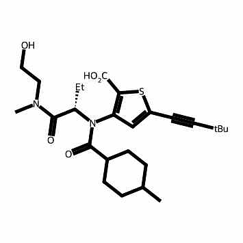 CC[C@@H](C(=O)N(C)CCO)N(C(=O)C1CCC(C)CC1)c1cc(C#CC(C)(C)C)sc1C(=O)O